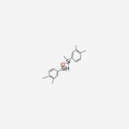 Cc1ccc([SiH](C)O[Si](C)(C)c2ccc(C)c(C)c2)cc1C